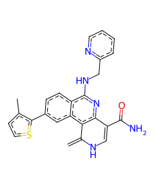 C=C1NC=C(C(N)=O)c2nc(NCc3ccccn3)c3ccc(-c4sccc4C)cc3c21